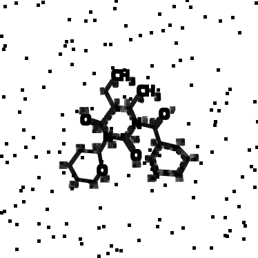 CCc1c(C)n(C(=O)c2ccccc2)c(=O)n(C2CCCCO2)c1=O